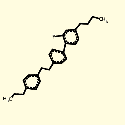 CCCCc1ccc(-c2ccc(CCc3ccc(CCC)cc3)cc2)c(F)c1